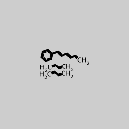 C=CC=C.C=CC=C.C=CC=CC=Cc1ccccc1